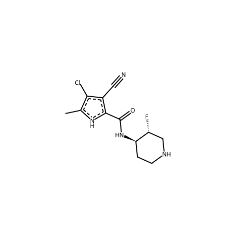 Cc1[nH]c(C(=O)N[C@@H]2CCNC[C@H]2F)c(C#N)c1Cl